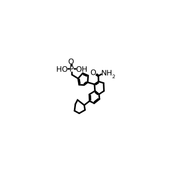 NC(=O)C1=C(c2ccc(CP(=O)(O)O)cc2)c2cc(C3CCCCC3)ccc2CC1